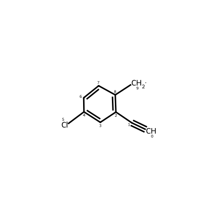 C#Cc1cc(Cl)ccc1[CH2]